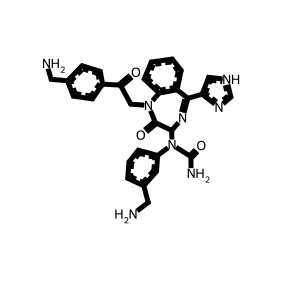 NCc1ccc(C(=O)CN2C(=O)C(N(C(N)=O)c3cccc(CN)c3)N=C(c3c[nH]cn3)c3ccccc32)cc1